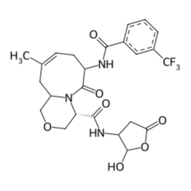 C/C1=C/CC(NC(=O)c2cccc(C(F)(F)F)c2)C(=O)N2C(COC[C@H]2C(=O)NC2CC(=O)OC2O)C1